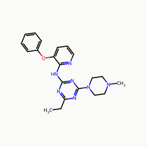 CCc1nc(Nc2ncccc2Oc2ccccc2)nc(N2CCN(C)CC2)n1